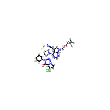 CS[C@H]1C[C@@H](c2nn3ccc(Cl)c3c(=O)n2-c2ccccc2)N(c2ncnc3c2c(C#N)cn3COCC[Si](C)(C)C)C1